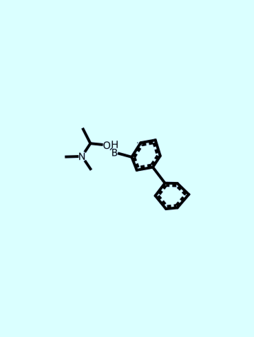 CC(OBc1[c]ccc(-c2ccccc2)c1)N(C)C